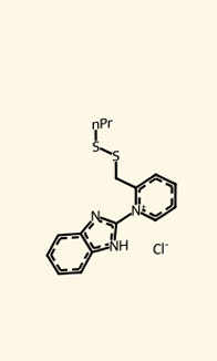 CCCSSCc1cccc[n+]1-c1nc2ccccc2[nH]1.[Cl-]